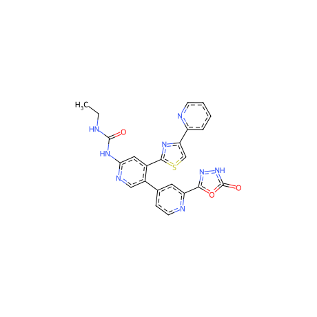 CCNC(=O)Nc1cc(-c2nc(-c3ccccn3)cs2)c(-c2ccnc(-c3n[nH]c(=O)o3)c2)cn1